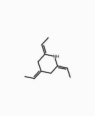 CC=C1CC(=CC)NC(=CC)C1